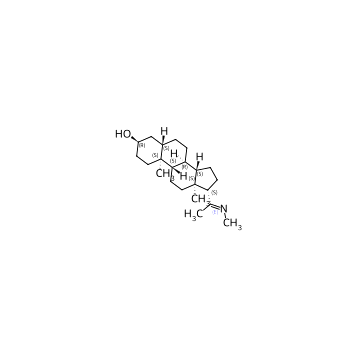 C/N=C(\C)[C@H]1CC[C@H]2[C@@H]3CC[C@H]4C[C@H](O)CC[C@]4(C)[C@H]3CC[C@]12C